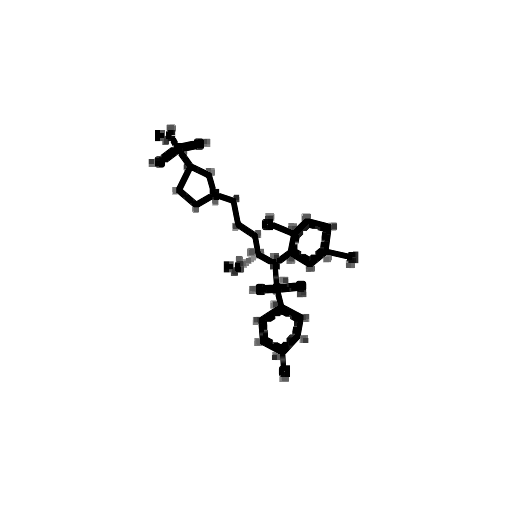 C[C@H](CCCN1CCC(S(C)(=O)=O)C1)N(c1cc(Cl)ccc1Cl)S(=O)(=O)c1ccc(Cl)cc1